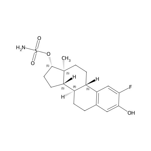 C[C@]12CC[C@@H]3c4cc(F)c(O)cc4CC[C@H]3[C@@H]1CC[C@@H]2OS(N)(=O)=O